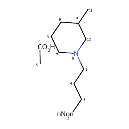 CC(=O)O.CCCCCCCCCCCCN1CCCC(C)C1